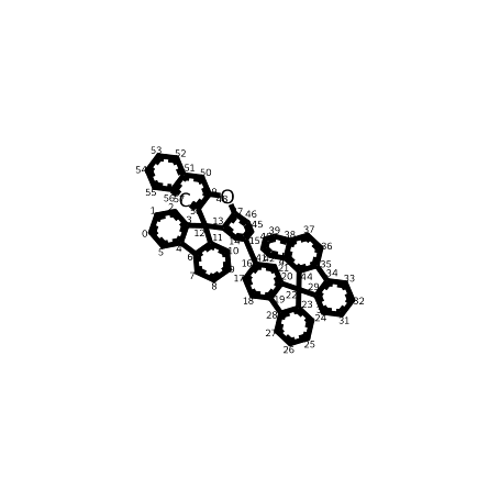 c1ccc2c(c1)-c1ccccc1C21c2cc(-c3ccc4c(c3)C3(c5ccccc5-4)c4ccccc4-c4ccc5ccccc5c43)ccc2Oc2cc3ccccc3cc21